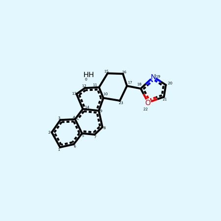 [HH].c1ccc2c(c1)ccc1c3c(ccc12)CCC(c1ncco1)C3